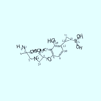 CC(N)(CN1CC(Oc2ccc(C3CC3B(O)O)c(O)c2C(=O)O)C1)C(=O)O